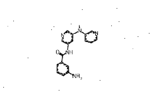 CN(c1cccnc1)c1cncc(NC(=O)c2cccc(N)c2)c1